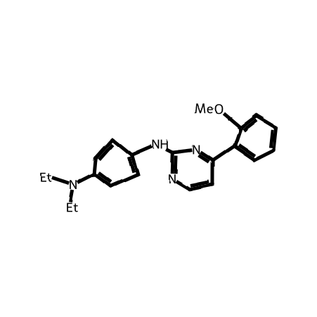 CCN(CC)c1ccc(Nc2nccc(-c3ccccc3OC)n2)cc1